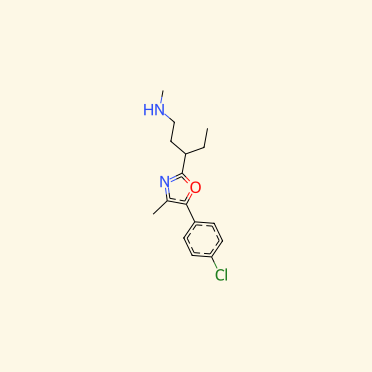 CCC(CCNC)c1nc(C)c(-c2ccc(Cl)cc2)o1